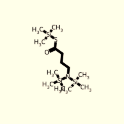 C[Si](C)(C)SC(=O)CCCN([Si](C)(C)C)[Si](C)(C)C